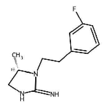 C[C@H]1CNC(=N)N1CCc1cccc(F)c1